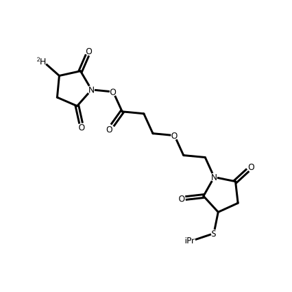 [2H]C1CC(=O)N(OC(=O)CCOCCN2C(=O)CC(SC(C)C)C2=O)C1=O